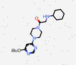 CC(C)COc1cc(N2CCN(C(=O)CNC3CCCCC3)CC2)ncn1